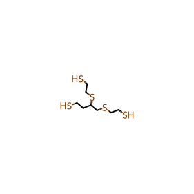 SCCSCC(CCS)SCCS